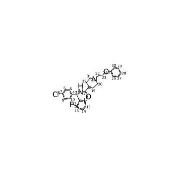 O=C(N[C@@H](c1ccc(Cl)cc1)c1ccccc1F)C1CCN(CCOc2ccccc2)CC1